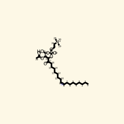 CCCCCCCC/C=C\CCCCCCCC(=O)C(OP(=O)([O-])OCC[N+](C)(C)C)[C@H](CO)OC(C)=O